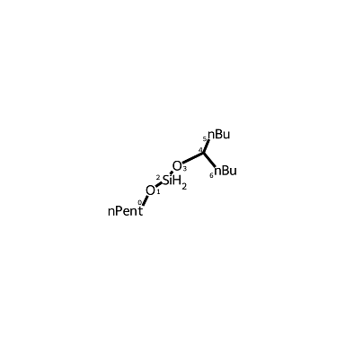 CCCCCO[SiH2]OC(CCCC)CCCC